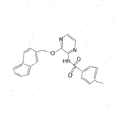 Cc1ccc(S(=O)(=O)Nc2nccnc2OCc2ccc3ccccc3c2)cc1